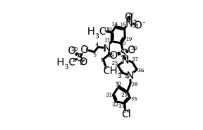 CCCN(CCOS(C)(=O)=O)c1c(C)cc([N+](=O)[O-])cc1S(=O)(=O)N1CCN(Cc2cccc(Cl)c2)CC1